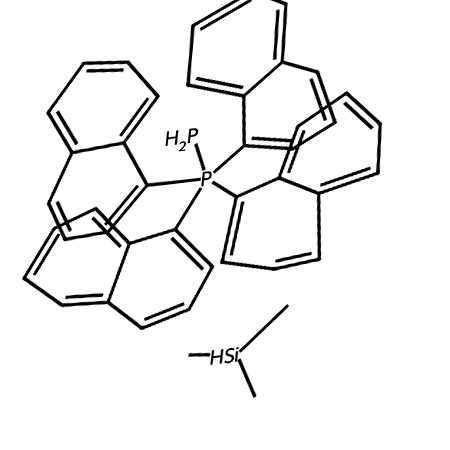 C[SiH](C)C.PP(c1cccc2ccccc12)(c1cccc2ccccc12)(c1cccc2ccccc12)c1cccc2ccccc12